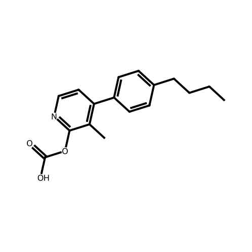 CCCCc1ccc(-c2ccnc(OC(=O)O)c2C)cc1